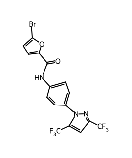 O=C(Nc1ccc(-n2nc(C(F)(F)F)cc2C(F)(F)F)cc1)c1ccc(Br)o1